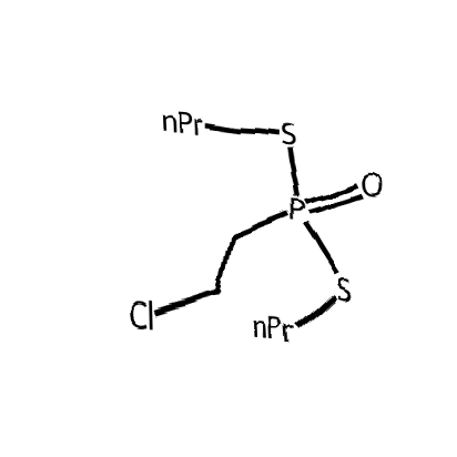 CCCSP(=O)(CCCl)SCCC